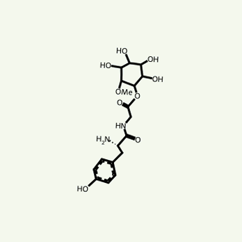 COC1C(O)C(O)C(O)C(O)C1OC(=O)CNC(=O)[C@@H](N)Cc1ccc(O)cc1